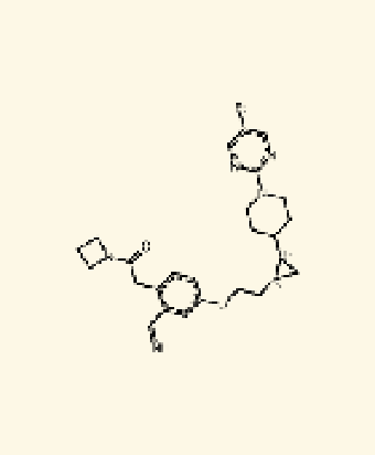 CCc1cnc(N2CCC([C@H]3C[C@H]3CCOc3ccc(CC(=O)N4CCC4)c(C=N)c3)CC2)nc1